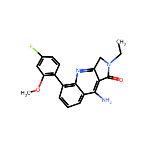 CCN1Cc2nc3c(-c4ccc(F)cc4OC)cccc3c(N)c2C1=O